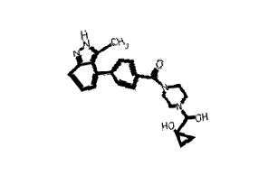 Cc1[nH]nc2cccc(-c3ccc(C(=O)N4CCN(C(O)C5(O)CC5)CC4)cc3)c12